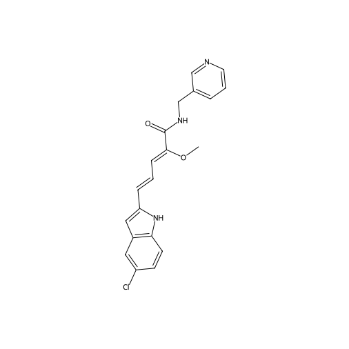 COC(=CC=Cc1cc2cc(Cl)ccc2[nH]1)C(=O)NCc1cccnc1